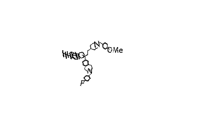 COc1ccc(CN2CCC(CCC(O)c3ccc4c(c3)CCN(Cc3ccc(F)cc3)CC4)CC2)cc1.Cl.Cl